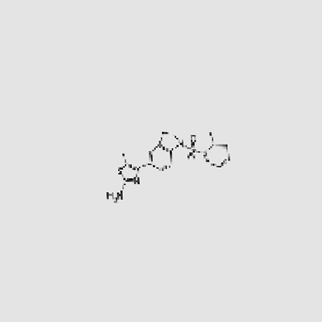 Cc1ccccc1S(=O)(=O)N1CCc2cc(-c3nc(N)sc3C)ccc21